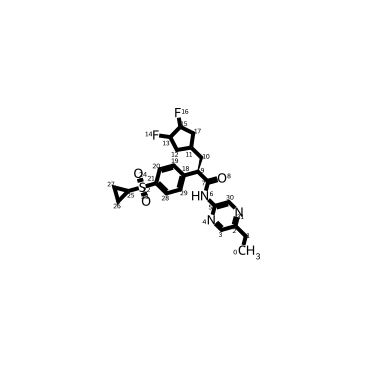 CCc1cnc(NC(=O)[C@H](CC2CC(F)C(F)C2)c2ccc(S(=O)(=O)C3CC3)cc2)cn1